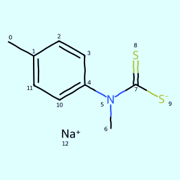 Cc1ccc(N(C)C(=S)[S-])cc1.[Na+]